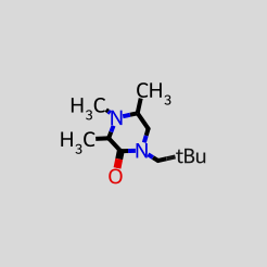 CC1CN(CC(C)(C)C)C(=O)C(C)N1C